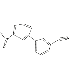 N#Cc1cccc(-c2cccc([N+](=O)[O-])c2)c1